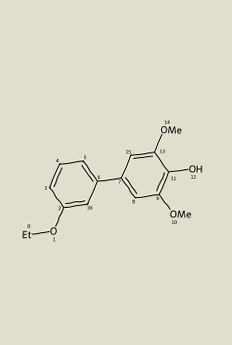 CCOc1cccc(-c2cc(OC)c(O)c(OC)c2)c1